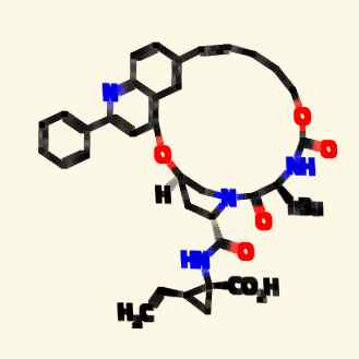 C=C[C@@H]1C[C@]1(NC(=O)[C@@H]1C[C@@H]2CN1C(=O)[C@H](CCCC)NC(=O)OCCC/C=C\c1ccc3nc(-c4ccccc4)cc(c3c1)O2)C(=O)O